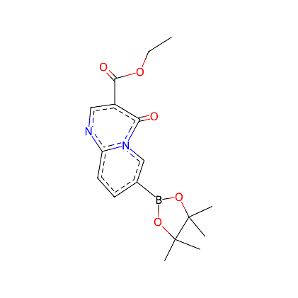 CCOC(=O)c1cnc2ccc(B3OC(C)(C)C(C)(C)O3)cn2c1=O